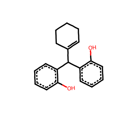 Oc1ccccc1C(C1=CCCCC1)c1ccccc1O